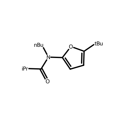 CCCCN(C(=O)C(C)C)c1ccc(C(C)(C)C)o1